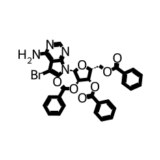 Nc1ncnc2c1c(Br)cn2[C@@H]1O[C@H](COC(=O)c2ccccc2)[C@@H](OC(=O)c2ccccc2)[C@H]1OC(=O)c1ccccc1